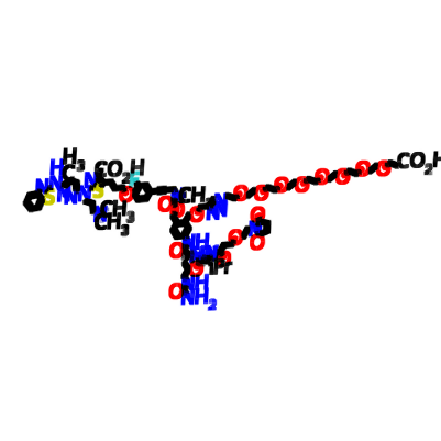 Cc1cc(N(CCCN(C)C)c2nc(C(=O)O)c(CCCOc3ccc(C#CCN(C)C(=O)OCc4ccc(NC(=O)[C@H](CCCNC(N)=O)NC(=O)[C@@H](NC(=O)CCOCCN5C(=O)C=CC5=O)C(C)C)cc4COCc4cn(CCOCCOCCOCCOCCOCCOCCOCCOCCC(=O)O)nn4)cc3F)s2)nnc1Nc1nc2ccccc2s1